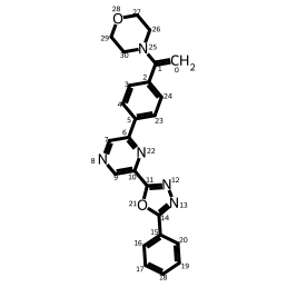 C=C(c1ccc(-c2cncc(-c3nnc(-c4ccccc4)o3)n2)cc1)N1CCOCC1